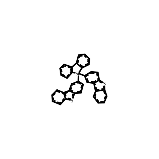 c1ccc2c(c1)-c1ccccc1[Si]2(c1ccc2sc3ccccc3c2c1)c1ccc2sc3ccccc3c2c1